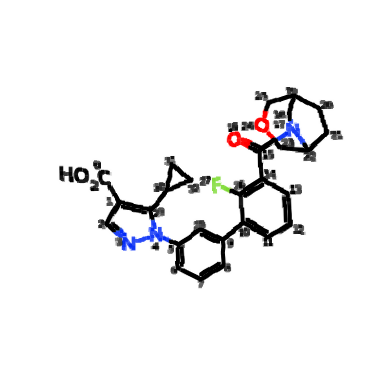 O=C(O)c1cnn(-c2cccc(-c3cccc(C(=O)N4CC5CCC4COC5)c3F)c2)c1C1CC1